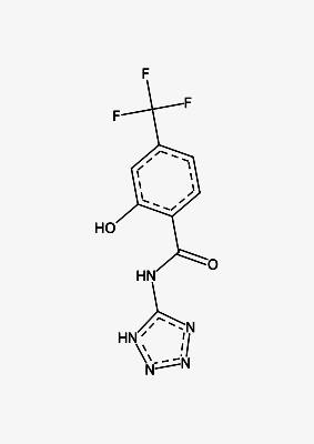 O=C(Nc1nnn[nH]1)c1ccc(C(F)(F)F)cc1O